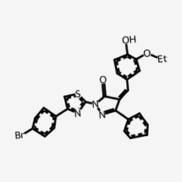 CCOc1cc(/C=C2\C(=O)N(c3nc(-c4ccc(Br)cc4)cs3)N=C2c2ccccc2)ccc1O